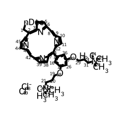 CCCCCCCCCCCC1=C2C=CC(=N2)C=C2C=CC(=N2)C(c2cc(OCCC[N+](C)(C)C)cc(OCCC[N+](C)(C)C)c2)=C2C=CC(=N2)C=C2C=CC1=N2.[Cl-].[Cl-]